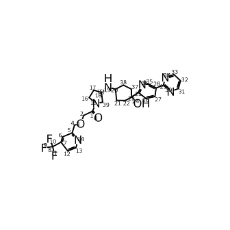 O=C(COCc1cc(C(F)(F)F)ccn1)N1CC[C@H](NC2CCC(O)(c3ccc(-c4ncccn4)cn3)CC2)C1